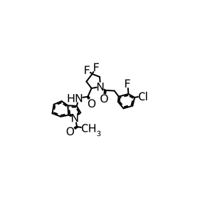 CC(=O)n1cc(NC(=O)C2CC(F)(F)CN2C(=O)Cc2cccc(Cl)c2F)c2ccccc21